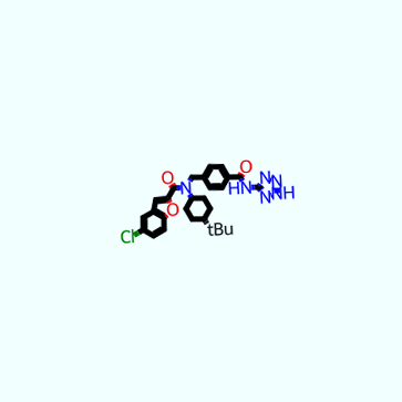 CC(C)(C)C1CCC(N(Cc2ccc(C(=O)Nc3nn[nH]n3)cc2)C(=O)c2cc3cc(Cl)ccc3o2)CC1